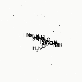 Cc1cc(C(=O)NC2C3CNCC32)ccc1-c1ccc(C[C@H](NC(=O)[C@H]2CC[C@H](CN)CC2)C(=O)Nc2ccc(-c3nn[nH]n3)cc2)cc1.Cl